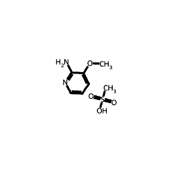 COc1cccnc1N.CS(=O)(=O)O